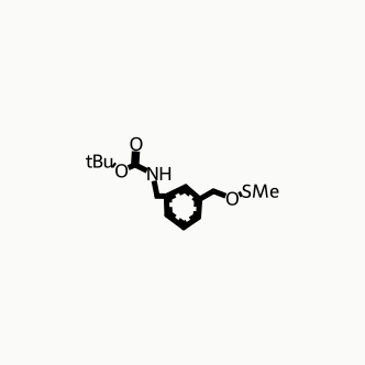 CSOCc1cccc(CNC(=O)OC(C)(C)C)c1